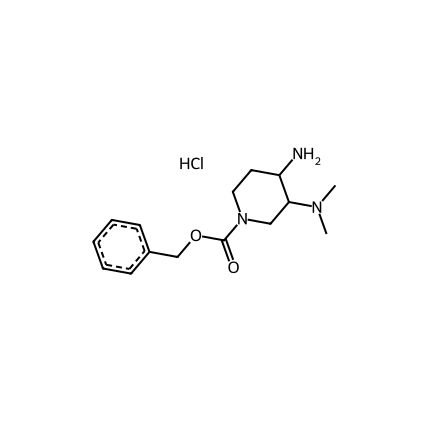 CN(C)C1CN(C(=O)OCc2ccccc2)CCC1N.Cl